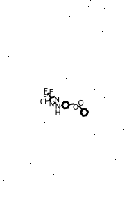 O=C(OCc1ccc(Nc2ncc(C(F)(F)F)c(Cl)n2)cc1)c1ccccc1